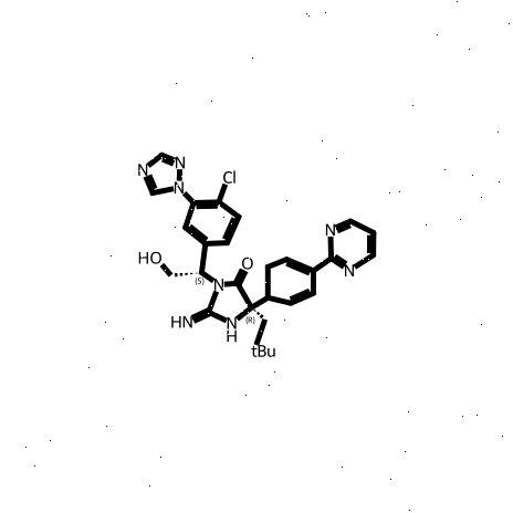 CC(C)(C)C[C@]1(C2C=CC(c3ncccn3)=CC2)NC(=N)N([C@H](CO)c2ccc(Cl)c(-n3cncn3)c2)C1=O